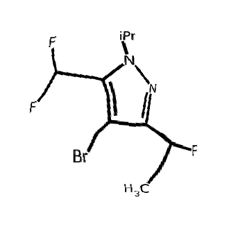 CC(F)c1nn(C(C)C)c(C(F)F)c1Br